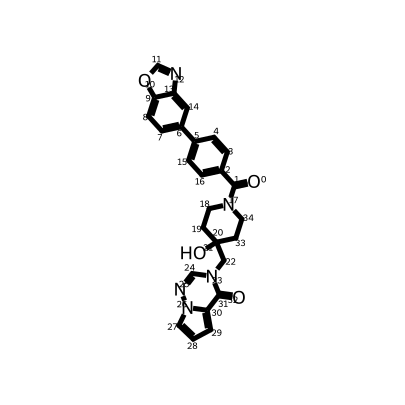 O=C(c1ccc(-c2ccc3ocnc3c2)cc1)N1CCC(O)(Cn2cnn3cccc3c2=O)CC1